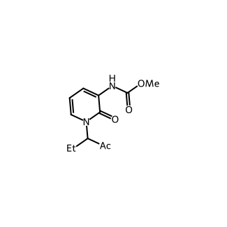 CCC(C(C)=O)n1cccc(NC(=O)OC)c1=O